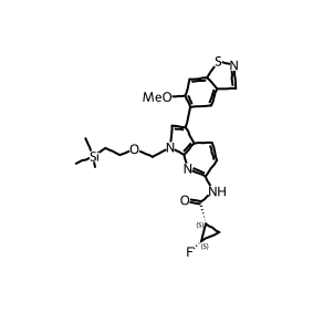 COc1cc2sncc2cc1-c1cn(COCC[Si](C)(C)C)c2nc(NC(=O)[C@@H]3C[C@@H]3F)ccc12